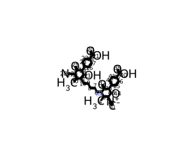 [C-]#[N+]C1=C(C)/C(=C/C=CC=CC2=C(O)C(c3ccc(C(=O)O)cc3)C(=O)C(C#N)=C2C)C(=O)C(c2ccc(C(=O)O)cc2)C1=O